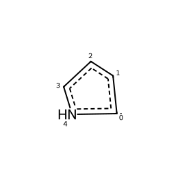 [c]1ccc[nH]1